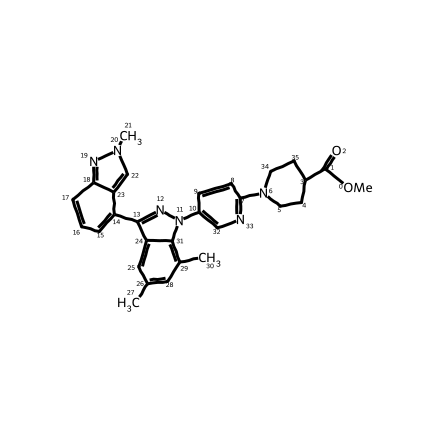 COC(=O)C1CCN(c2ccc(-n3nc(-c4cccc5nn(C)cc45)c4cc(C)cc(C)c43)cn2)CC1